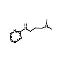 CN(C)CCCNc1ccccn1